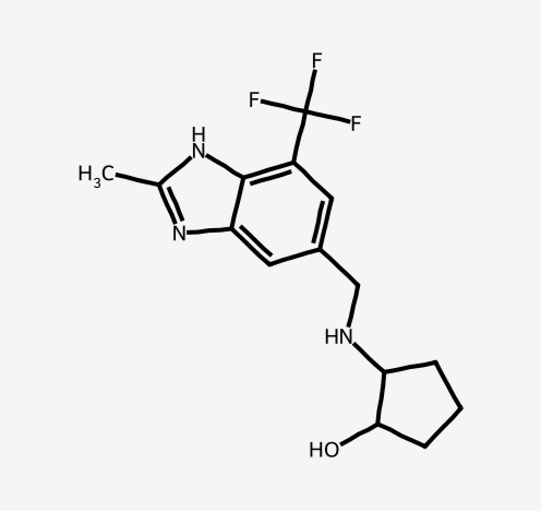 Cc1nc2cc(CNC3CCCC3O)cc(C(F)(F)F)c2[nH]1